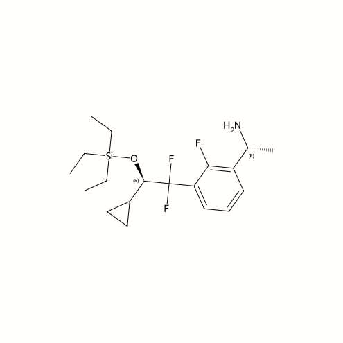 CC[Si](CC)(CC)O[C@H](C1CC1)C(F)(F)c1cccc([C@@H](C)N)c1F